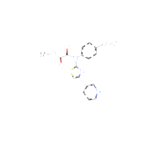 CCCCCCCCc1ccc(N(C(=O)C(=O)OC)c2nc(-c3cccnc3)cs2)cc1